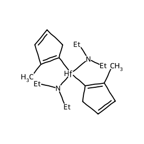 CC[N](CC)[Hf]([C]1=C(C)C=CC1)([C]1=C(C)C=CC1)[N](CC)CC